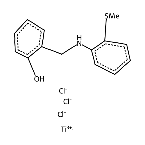 CSc1ccccc1NCc1ccccc1O.[Cl-].[Cl-].[Cl-].[Ti+3]